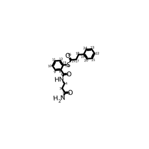 NC(=O)CCNC(=O)c1ccccc1SC(=O)CCc1ccccc1